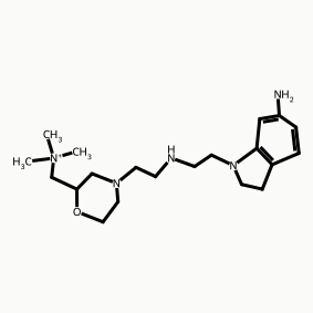 C[N+](C)(C)CC1CN(CCNCCN2CCc3ccc(N)cc32)CCO1